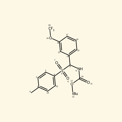 Cc1ccc(S(=O)(=O)C(NC(=O)OC(C)(C)C)c2cccc(OC(F)(F)F)c2)cc1